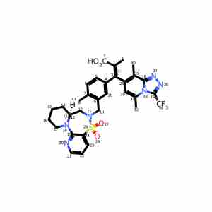 C/C(C(=O)O)=C(/c1ccc(C)c(CN2C[C@@H]3CCCCN3c3ncccc3S2(=O)=O)c1)c1cc(C)n2c(C(F)(F)F)nnc2c1C